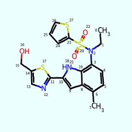 CCN(c1ccc(C)c2cc(-c3ncc(CO)s3)[nH]c12)S(=O)(=O)c1cccs1